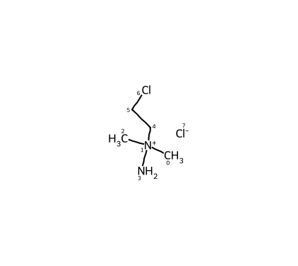 C[N+](C)(N)CCCl.[Cl-]